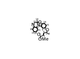 COC(=O)C=CC(C)Oc1ccc(OC2(C)CN=c3ccccc3=N2)cc1